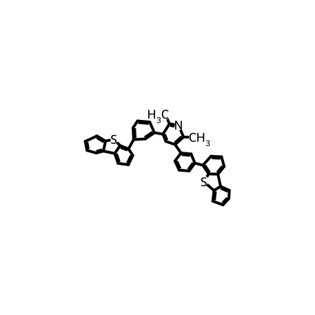 Cc1nc(C)c(-c2cccc(-c3cccc4c3sc3ccccc34)c2)cc1-c1cccc(-c2cccc3c2sc2ccccc23)c1